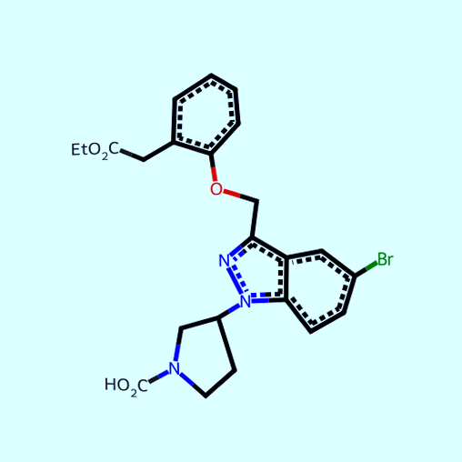 CCOC(=O)Cc1ccccc1OCc1nn(C2CCN(C(=O)O)C2)c2ccc(Br)cc12